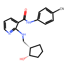 N#Cc1ccc(NC(=O)c2cccnc2NC[C@@H]2CCC[C@@H]2O)cc1